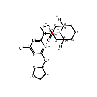 CN(c1nc(Cl)cc(OC2CCOC2)n1)[C@@H]1C[C@H]2CCC[C@@H](C1)N2C(=O)O